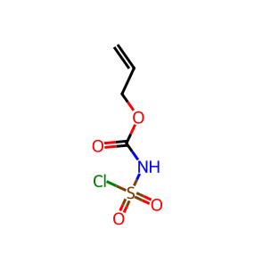 C=CCOC(=O)NS(=O)(=O)Cl